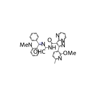 CNc1ccccc1/C(=N\C(C=O)NC(=O)c1c(-c2ccc(C)nc2OC)nn2cccnc12)c1ccccc1